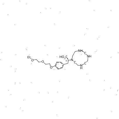 CCOCCOCCOc1ccc(C[C@@H](C(=O)O)N2CCNCCNCCNCC2)cc1